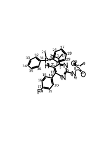 CC(C)c1nc(N(C)S(C)(=O)=O)nc(-c2ccc(F)cc2)c1C[PH](C)(c1ccccc1)c1ccccc1